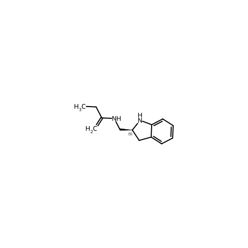 C=C(CC)NC[C@@H]1Cc2ccccc2N1